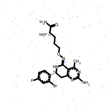 Cc1nc(N)nc2c1/C(=N/OCCC[C@H](O)C(N)=O)N[C@@H](c1ccc(F)cc1Br)C2